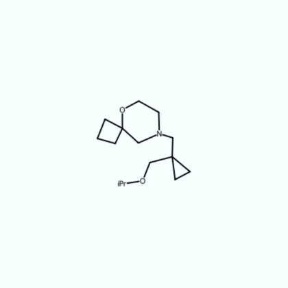 CC(C)OCC1(CN2CCOC3(CCC3)C2)CC1